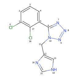 Clc1cccc(-c2nnnn2Cc2c[nH]cn2)c1Cl